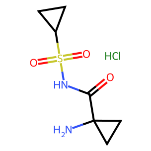 Cl.NC1(C(=O)NS(=O)(=O)C2CC2)CC1